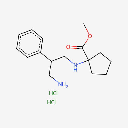 COC(=O)C1(NCC(CN)c2ccccc2)CCCC1.Cl.Cl